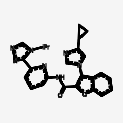 CC(C)n1cnnc1-c1cccc(NC(=O)c2oc3ccccc3c2-n2cnc(C3CC3)c2)n1